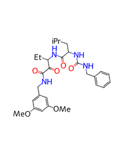 CCC(NC(=O)C(CC(C)C)NC(=O)NCc1ccccc1)C(=O)C(=O)NCc1cc(OC)cc(OC)c1